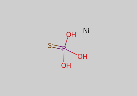 OP(O)(O)=S.[Ni]